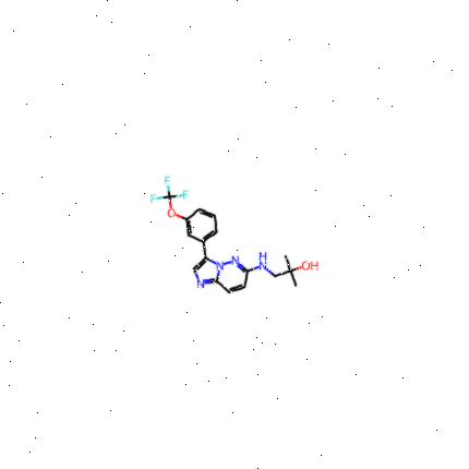 CC(C)(O)CNc1ccc2ncc(-c3cccc(OC(F)(F)F)c3)n2n1